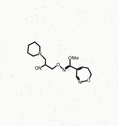 CO/C(=N\OCC(CN1CCCCC1)N=O)C1=CCCON=C1